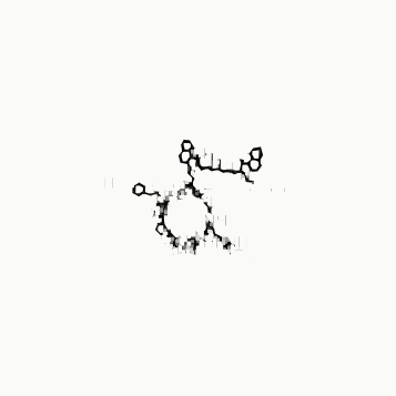 Cc1ccc(CC(NC(=O)C2CSSCC(NC(=O)CCN3/C(=C/C=C/C=C/C=C/C4=[N+](CCC(=O)[O-])c5ccc6ccccc6c5C4(C)C)C(C)(C)c4c3ccc3ccccc43)C(=O)NCC(=O)NC(CCCNC(=N)N)C(=O)NC(CC(=O)O)C(=O)NC(CO)C(=O)N3CCCC3C(=O)N2)C(=O)O)cc1